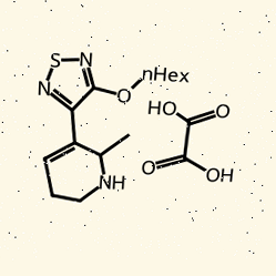 CCCCCCOc1nsnc1C1=CCCNC1C.O=C(O)C(=O)O